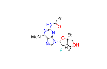 CCC1(CO)O[C@@H](n2cnc3c(NC)nc(NC(=O)C(C)C)nc32)[C@@H](F)[C@@H]1C